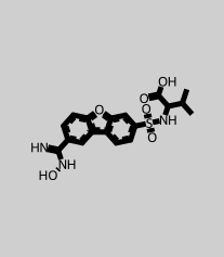 CC(C)C(NS(=O)(=O)c1ccc2c(c1)oc1ccc(C(=N)NO)cc12)C(=O)O